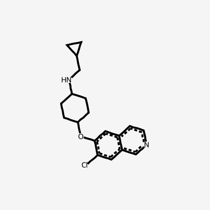 Clc1cc2cnccc2cc1OC1CCC(NCC2CC2)CC1